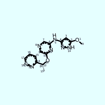 COc1cc(Nc2cncc(O[C@H](C)c3cccnn3)n2)n[nH]1